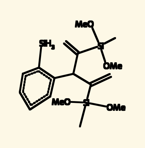 C=C(C(C(=C)[Si](C)(OC)OC)c1ccccc1[SiH3])[Si](C)(OC)OC